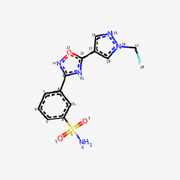 NS(=O)(=O)c1cccc(-c2noc(-c3cnn(CF)c3)n2)c1